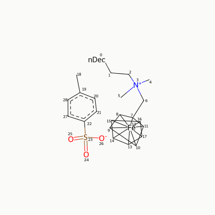 CCCCCCCCCCCC[N+](C)(C)C[C]12[CH]3[CH]4[CH]5[CH]1[Fe]45321678[CH]2[CH]1[CH]6[CH]7[CH]28.Cc1ccc(S(=O)(=O)[O-])cc1